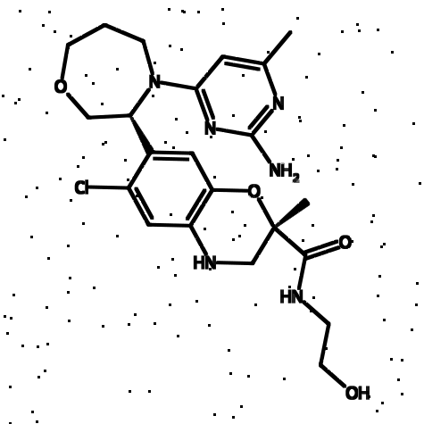 Cc1cc(N2CCCOC[C@@H]2c2cc3c(cc2Cl)NC[C@@](C)(C(=O)NCCO)O3)nc(N)n1